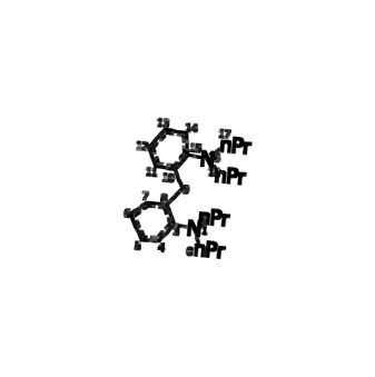 CCCN(CCC)c1ccccc1Cc1ccccc1N(CCC)CCC